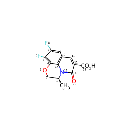 C[C@H]1COc2c(F)c(F)cc3cc(C(=O)O)c(=O)n1c23